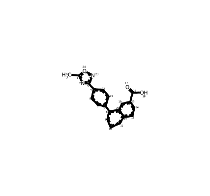 Cc1nc(-c2ccc(-c3cccc4ccc(C(=O)O)cc34)cc2)no1